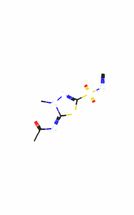 C=NS(=O)(=O)c1nn(C)/c(=N\C(C)=O)s1